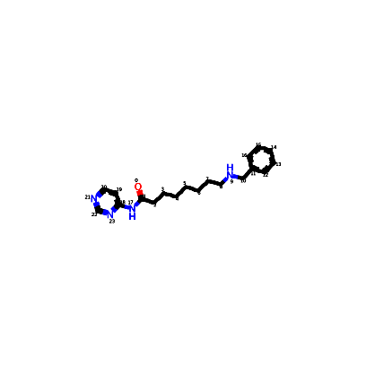 O=C(CCCCCCCNCc1ccccc1)Nc1ccncn1